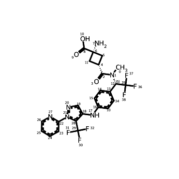 CN(C(=O)[C@H]1C[C@](N)(C(=O)O)C1)[C@@H](c1ccc(Nc2cnn(-c3ccccn3)c2C(F)(F)F)cc1)C(F)(F)F